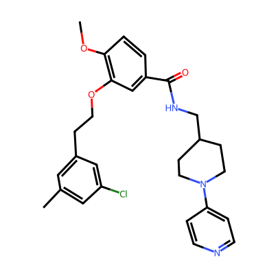 COc1ccc(C(=O)NCC2CCN(c3ccncc3)CC2)cc1OCCc1cc(C)cc(Cl)c1